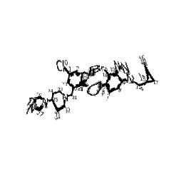 Clc1cnc(Oc2ccc3c(nnn3CC3CC3)c2Br)c(CN2CCC(n3cnnc3)CC2)c1